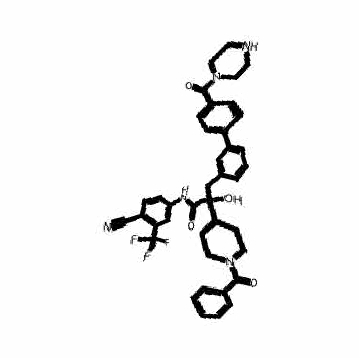 N#Cc1ccc(NC(=O)C(O)(Cc2cccc(-c3ccc(C(=O)N4CCNCC4)cc3)c2)C2CCN(C(=O)c3ccccc3)CC2)cc1C(F)(F)F